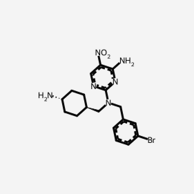 Nc1nc(N(Cc2cccc(Br)c2)C[C@H]2CC[C@H](N)CC2)ncc1[N+](=O)[O-]